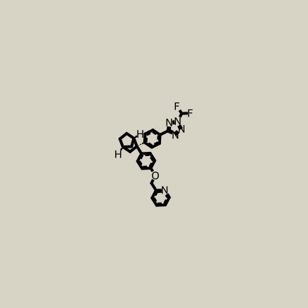 FC(F)n1nnc(-c2ccc([C@]3(c4ccc(OCc5ccccn5)cc4)C[C@@H]4CC[C@H]3C4)cc2)n1